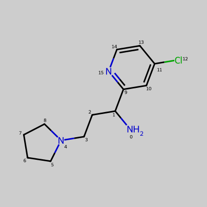 NC(CCN1CCCC1)c1cc(Cl)ccn1